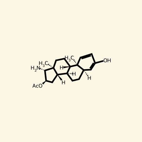 CC(=O)O[C@@H]1C[C@H]2[C@@H]3CC[C@@H]4C=C(O)C=C[C@]4(C)[C@H]3CC[C@]2(C)[C@H]1N